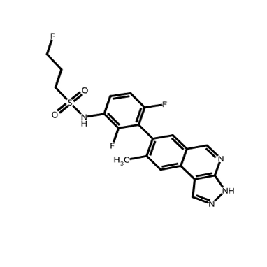 Cc1cc2c(cnc3[nH]ncc32)cc1-c1c(F)ccc(NS(=O)(=O)CCCF)c1F